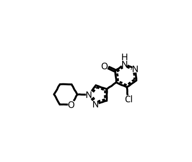 O=c1[nH]ncc(Cl)c1-c1cnn(C2CCCCO2)c1